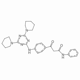 O=C(CC(=O)c1ccc(Nc2nc(N3CCCCC3)nc(N3CCCCC3)n2)cc1)Nc1ccccc1